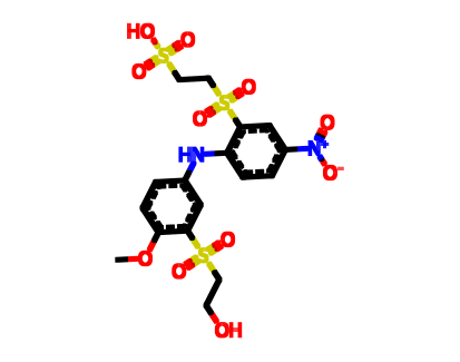 COc1ccc(Nc2ccc([N+](=O)[O-])cc2S(=O)(=O)CCS(=O)(=O)O)cc1S(=O)(=O)CCO